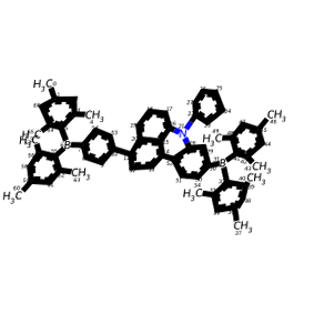 Cc1cc(C)c(B(c2ccc(-c3ccc4c5c(cccc35)N(c3ccccc3)c3cc(B(c5c(C)cc(C)cc5C)c5c(C)cc(C)cc5C)ccc3-4)cc2)c2c(C)cc(C)cc2C)c(C)c1